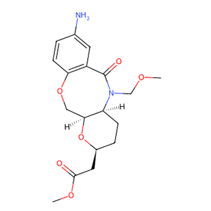 COCN1C(=O)c2cc(N)ccc2OC[C@@H]2O[C@H](CC(=O)OC)CC[C@@H]21